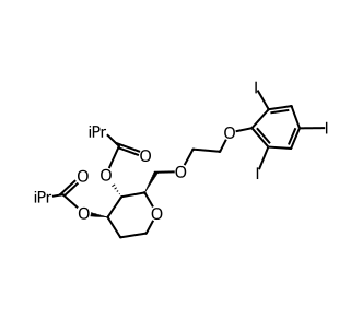 CC(C)C(=O)O[C@@H]1[C@@H](COCCOc2c(I)cc(I)cc2I)OCC[C@H]1OC(=O)C(C)C